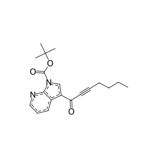 CCCCC#CC(=O)c1cn(C(=O)OC(C)(C)C)c2ncccc12